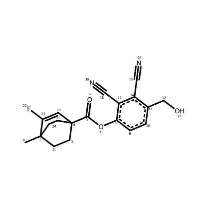 CC12CCC(C(=O)Oc3ccc(CO)c(C#N)c3C#N)(C=C1F)CC2